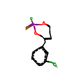 S=P1(Cl)OCCC(c2cccc(Cl)c2)O1